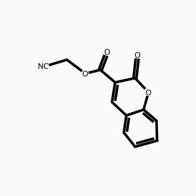 N#CCOC(=O)c1cc2ccccc2oc1=O